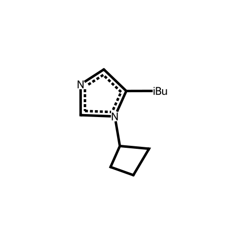 CCC(C)c1cncn1C1CCC1